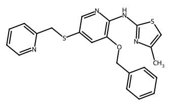 Cc1csc(Nc2ncc(SCc3ccccn3)cc2OCc2ccccc2)n1